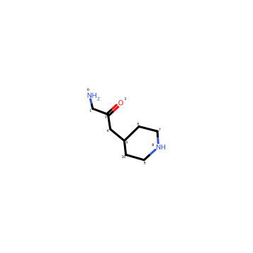 NCC(=O)CC1CCNCC1